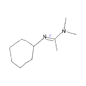 C/C(=N\C1CCCCC1)N(C)C